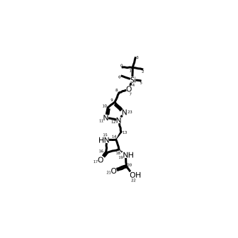 CC(C)(C)[Si](C)(C)OCc1cnn(C[C@@H]2NC(=O)[C@H]2NC(=O)O)n1